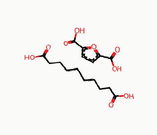 O=C(O)CCCCCCCCC(=O)O.O=C(O)c1ccc(C(=O)O)o1